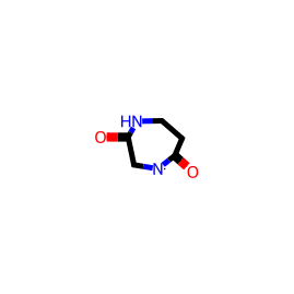 O=C1CCNC(=O)C[N]1